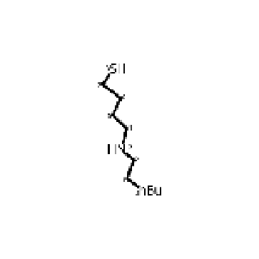 CCCCCCNCCCCS